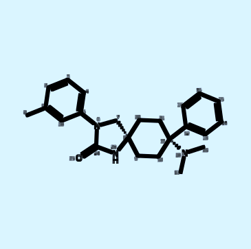 Cc1cccc(N2C[C@]3(CC[C@@](c4ccccc4)(N(C)C)CC3)NC2=O)c1